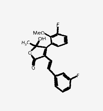 COc1c(F)cccc1C1=C(C=Cc2cccc(F)c2)C(=O)OC1(C)O